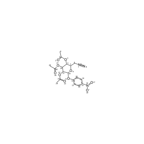 CC(=O)OC1C(C[N+]#N)OC(Oc2ccc([N+](=O)[O-])cc2)C(OC(C)=O)C1OC(C)=O